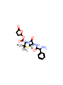 CC1(C)S[C@@H]2[C@H](NC(=O)C(N)c3ccccc3)C(=O)N2[C@H]1C(=O)OC1CCC(=O)O1